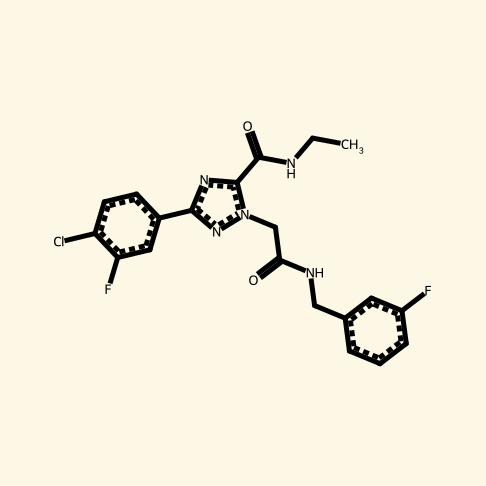 CCNC(=O)c1nc(-c2ccc(Cl)c(F)c2)nn1CC(=O)NCc1cccc(F)c1